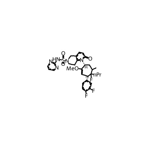 CCCC1(F)C(C)C[C@@H](n2c3c(ccc2=O)CN(S(=O)(=O)Nc2ncccn2)CC3)C(OC)=C[C@H]1c1ccc(F)c(F)c1